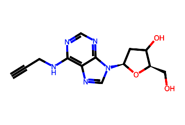 C#CCNc1ncnc2c1ncn2[C@H]1CC(O)[C@@H](CO)O1